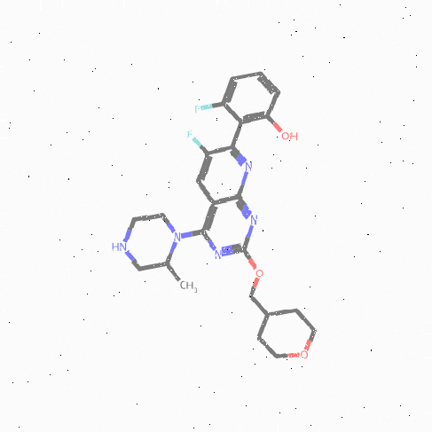 CC1CNCCN1c1nc(OCC2CCOCC2)nc2nc(-c3c(O)cccc3F)c(F)cc12